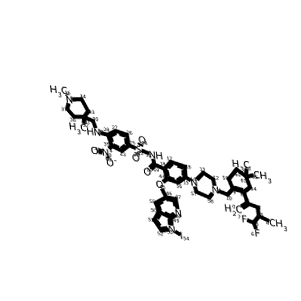 C=C(CC(C)C(F)F)C1=C(CN2CCN(c3ccc(C(=O)NS(=O)(=O)c4ccc(NCC5(C)CCN(C)CC5)c([N+](=O)[O-])c4)c(Oc4cnc5c(ccn5I)c4)c3)CC2)CCC(C)(C)C1